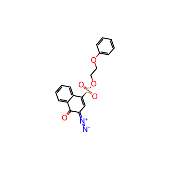 [N-]=[N+]=C1C=C(S(=O)(=O)OCCOc2ccccc2)c2ccccc2C1=O